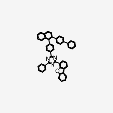 c1ccc(-c2ccc(-c3ccc4ccccc4c3-c3ccc(-c4nc(-c5ccccc5)nc(-c5cccc6c5oc5ccccc56)n4)cc3)cc2)cc1